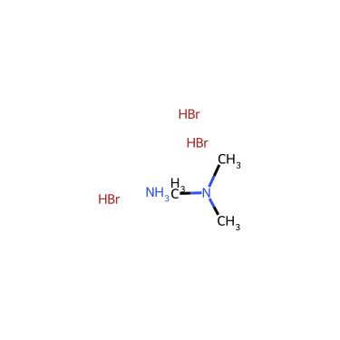 Br.Br.Br.CN(C)C.N